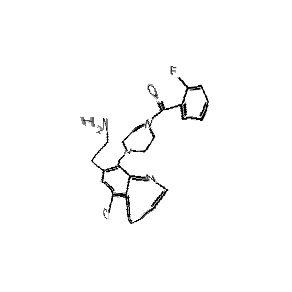 NCCc1cc(Cl)c2cccnc2c1N1CCN(C(=O)c2ccccc2F)CC1